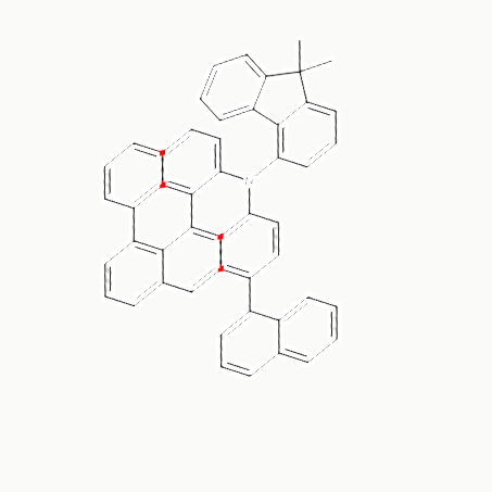 CC1(C)c2ccccc2-c2c(N(c3ccc(-c4cccc5ccccc45)cc3)c3ccccc3-c3cccc4cccc(-c5ccccc5)c34)cccc21